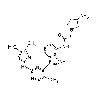 Cc1cnc(Nc2cc(C)n(C)n2)nc1-c1c[nH]c2c(NC(=O)CN3CCC(N)C3)cccc12